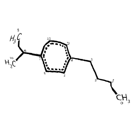 C[CH]CCc1ccc(C(C)C)cc1